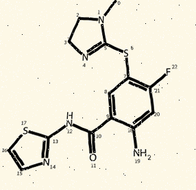 CN1CCN=C1Sc1cc(C(=O)Nc2nccs2)c(N)cc1F